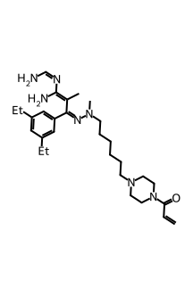 C=CC(=O)N1CCN(CCCCCCN(C)\N=C(/C(C)=C(N)/N=C\N)c2cc(CC)cc(CC)c2)CC1